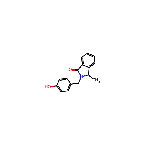 CC1c2ccccc2C(=O)N1Cc1ccc(O)cc1